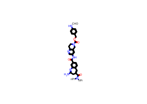 CCCN(CCC)C(=O)C1=Cc2ccc(C(=O)Nc3cnc4c(c3)CN(C(=O)OCc3ccc(NC=O)cc3)CC4)cc2N=C(N)C1